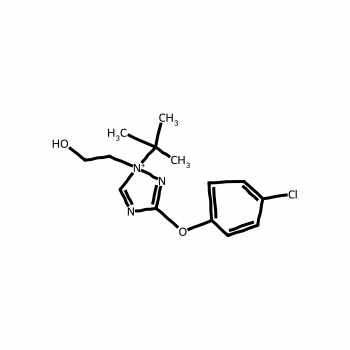 CC(C)(C)[N+]1(CCO)C=NC(Oc2ccc(Cl)cc2)=N1